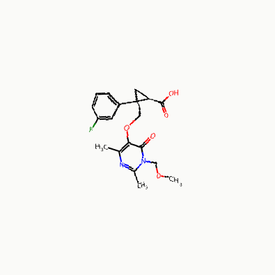 COCn1c(C)nc(C)c(OC[C@@]2(c3cccc(F)c3)C[C@H]2C(=O)O)c1=O